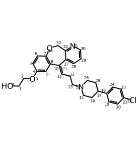 OCCOc1ccc2c(c1)/C(=C/CCN1CCC(c3ccc(Cl)cc3)CC1)c1cccnc1CO2